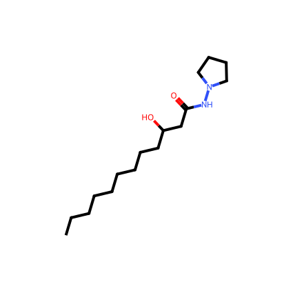 CCCCCCCCCC(O)CC(=O)NN1CCCC1